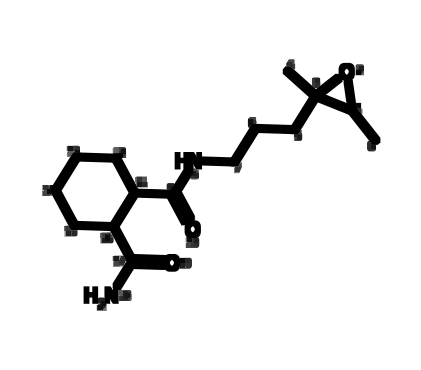 CC1OC1(C)CCCNC(=O)C1CCCCC1C(N)=O